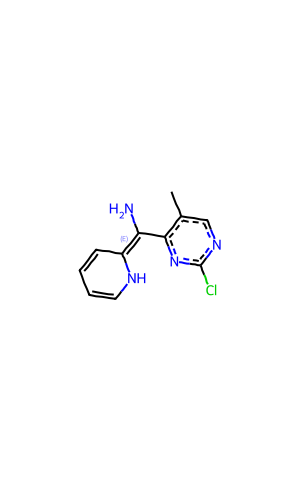 Cc1cnc(Cl)nc1/C(N)=C1/C=CC=CN1